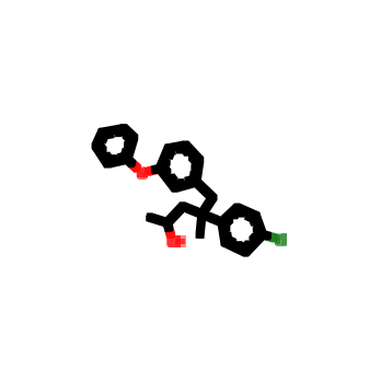 CC(O)CC(C)(Cc1cccc(Oc2ccccc2)c1)c1ccc(Cl)cc1